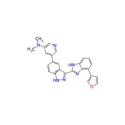 CN(C)c1cncc(-c2ccc3[nH]nc(-c4nc5c(-c6ccoc6)cccc5[nH]4)c3c2)c1